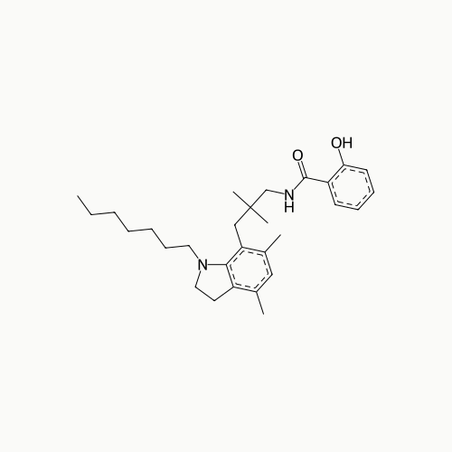 CCCCCCCN1CCc2c(C)cc(C)c(CC(C)(C)CNC(=O)c3ccccc3O)c21